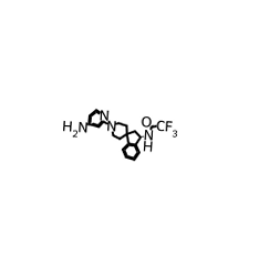 Nc1ccnc(N2CCC3(CC2)C[C@H](NC(=O)C(F)(F)F)c2ccccc23)c1